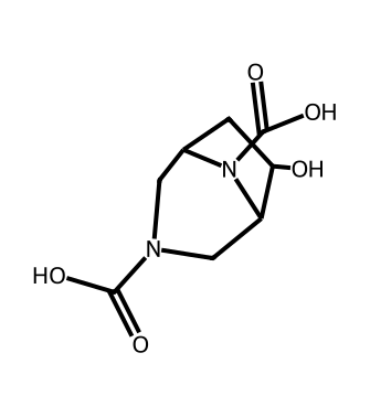 O=C(O)N1CC2CC(O)C(C1)N2C(=O)O